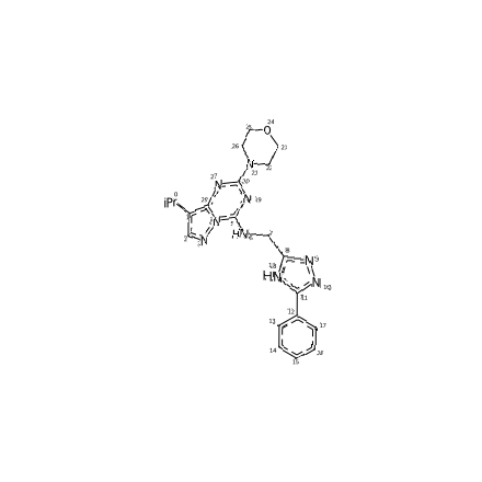 CC(C)c1cnn2c(NCc3nnc(-c4ccccc4)[nH]3)nc(N3CCOCC3)nc12